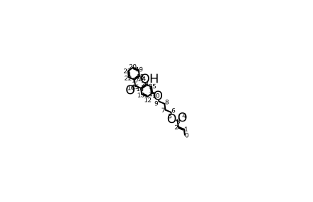 CC=CC(=O)OCCCCOc1ccc(C(=O)c2ccccc2)c(O)c1